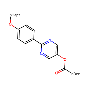 CCCCCCCCCCC(=O)Oc1cnc(-c2ccc(OCCCCCCC)cc2)nc1